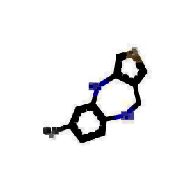 O=[N+]([O-])c1ccc2c(c1)Nc1cscc1CN2